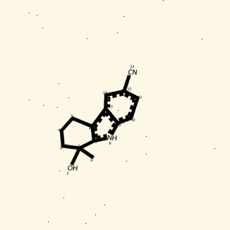 CC1(O)CCCc2c1[nH]c1ccc(C#N)cc21